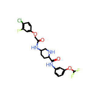 O=C(COc1ccc(Cl)c(F)c1)NC1CCC(C(=O)Nc2cccc(OC(F)F)c2)NC1